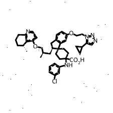 C[C@@H](COc1ccnc2c1[C@H](C)CCC2)C[C@H]1Cc2ccc(OCCn3nncc3C3CC3)cc2C12CCC(Nc1cccc(Cl)c1)(C(=O)O)CC2